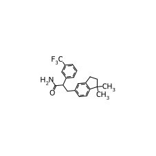 CC1(C)CCc2cc(CC(C(N)=O)c3cccc(C(F)(F)F)c3)ccc21